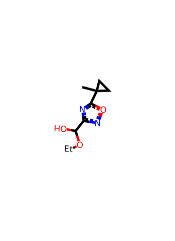 CCOC(O)c1noc(C2(C)CC2)n1